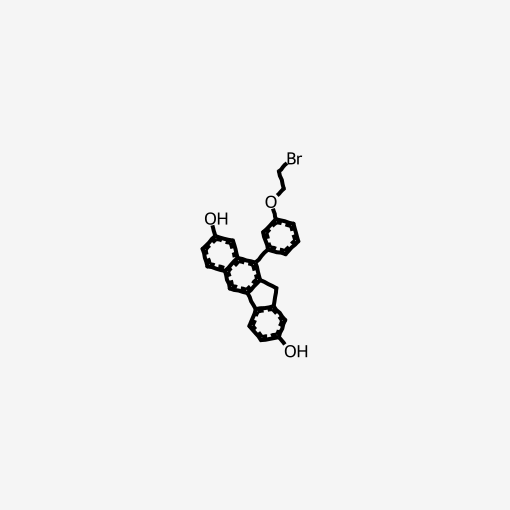 Oc1ccc2c(c1)Cc1c-2cc2ccc(O)cc2c1-c1cccc(OCCBr)c1